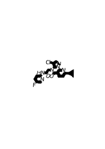 O=C(Cn1c(=O)c2ccc(C3CC3)nc2n2ncc(Cl)c12)Nc1ccc(F)cn1